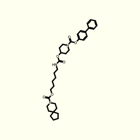 O=C(NCCCCCCOC(=O)N1CCC2(CCCC2)CC1)OC1CCN(C(=O)Oc2ccc(-c3ccccc3)cc2)CC1